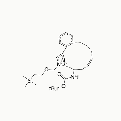 CC(C)(C)OC(=O)N[C@H]1CC=CCCCc2ccccc2-c2cn(COCC[Si](C)(C)C)c1n2